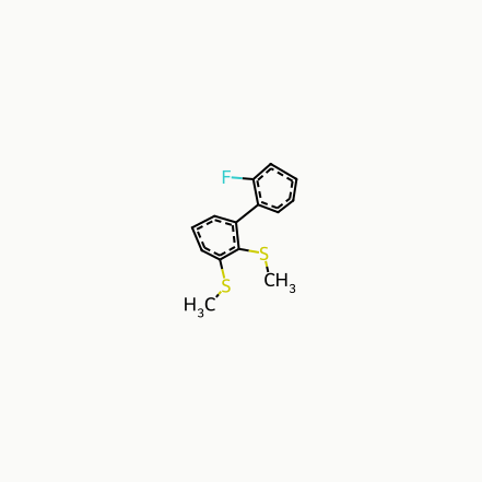 CSc1cccc(-c2ccccc2F)c1SC